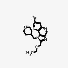 CCOCc1nc2cnc3cc(Br)cnc3c2n1CC1CCOCC1